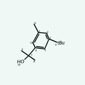 Cc1cc(C(C)(C)C)cc(C(C)(C)O)c1